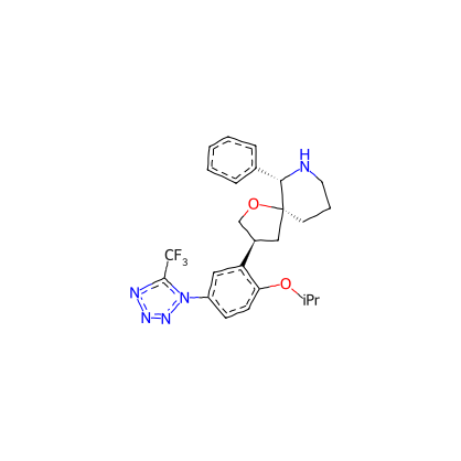 CC(C)Oc1ccc(-n2nnnc2C(F)(F)F)cc1[C@H]1CO[C@]2(CCCN[C@H]2c2ccccc2)C1